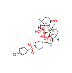 C=C1C(=O)[C@]23[C@H](OC(=O)C4CCN(S(=O)(=O)c5ccc(Cl)cc5)CC4)[C@H]1CC[C@H]2[C@@]12CO[C@]3(O)[C@@H](O)[C@@H]1C(C)(C)CCC2=O